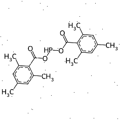 Cc1cc(C)c(C(=O)OPOC(=O)c2c(C)cc(C)cc2C)c(C)c1